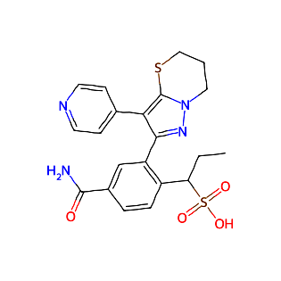 CCC(c1ccc(C(N)=O)cc1-c1nn2c(c1-c1ccncc1)SCCC2)S(=O)(=O)O